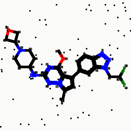 [2H]c1cc(-c2ccc3nnn(CC(F)F)c3c2)c2c(OC)nc(NC3CCN(C4COC4)CC3)nn12